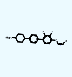 CC/C=C\Oc1ccc(-c2ccc(C3CCC(CCCCCCC)CC3)cc2)c(F)c1F